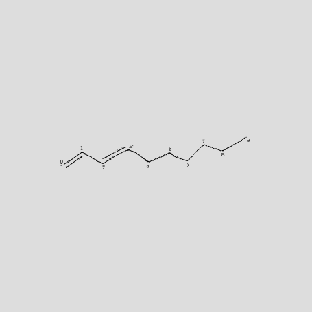 [C]=CC=CCCCCCC